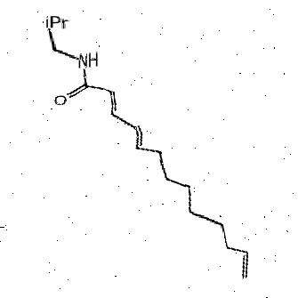 C=CCCCCCC/C=C/C=C/C(=O)NCC(C)C